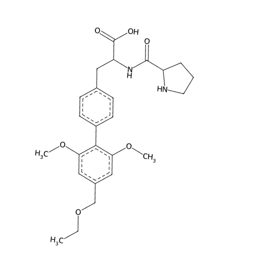 CCOCc1cc(OC)c(-c2ccc(CC(NC(=O)C3CCCN3)C(=O)O)cc2)c(OC)c1